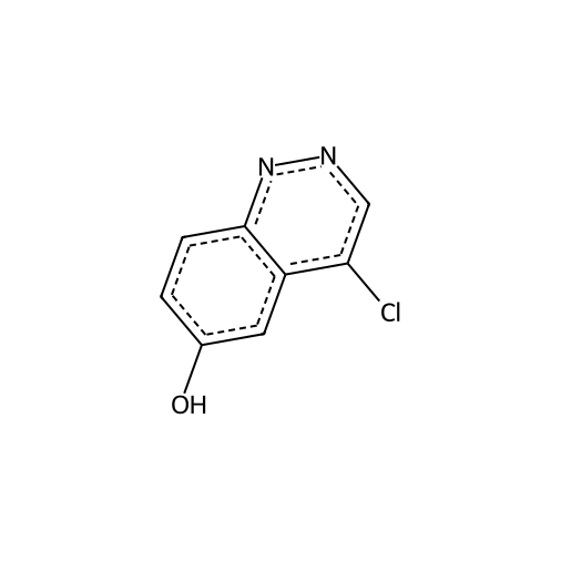 Oc1ccc2nncc(Cl)c2c1